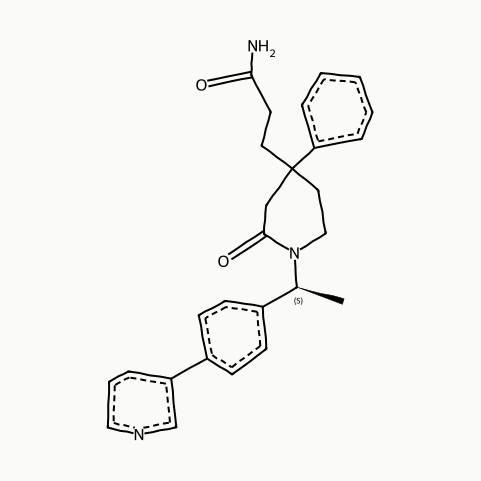 C[C@@H](c1ccc(-c2cccnc2)cc1)N1CCC(CCC(N)=O)(c2ccccc2)CC1=O